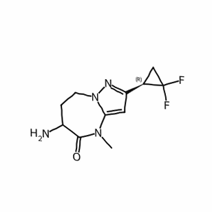 CN1C(=O)C(N)CCn2nc([C@H]3CC3(F)F)cc21